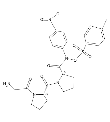 Cc1ccc(S(=O)(=O)ON(C(=O)[C@@H]2CCCN2C(=O)[C@@H]2CCCN2C(=O)CN)c2ccc([N+](=O)[O-])cc2)cc1